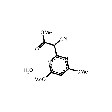 COC(=O)C(C#N)c1nc(OC)cc(OC)n1.O